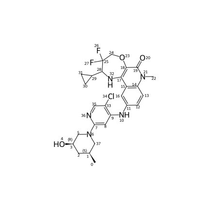 C[C@H]1C[C@@H](O)CN(c2cc(Nc3ccc4c(c3)c3c(c(=O)n4C)OCC(F)(F)C(C4CC4)N3)c(Cl)cn2)C1